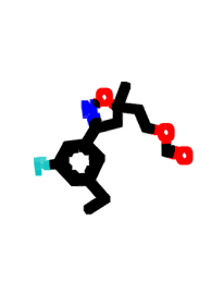 CCc1cc(F)cc(C2=NOC(C)(CCOC=O)C2)c1